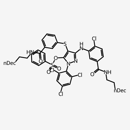 CCCCCCCCCCCCNC(=O)c1cccc(Sc2c(Nc3cc(C(=O)NCCCCCCCCCCCC)ccc3Cl)nn(-c3c(Cl)cc(Cl)cc3Cl)c2OS(=O)(=O)c2ccccc2)c1